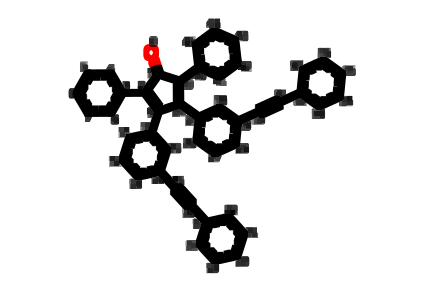 O=C1C(c2ccccc2)=C(c2cccc(C#Cc3ccccc3)c2)C(c2cccc(C#Cc3ccccc3)c2)=C1c1ccccc1